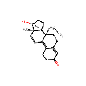 CC(=O)O.C[C@]12C=CC3=C4CCC(=O)C=C4CC[C@H]3[C@@H]1CC[C@@H]2O